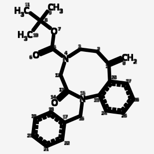 C=C1CCN(C(=O)OC(C)(C)C)CC(=O)N(Cc2ccccc2)c2ccccc21